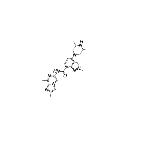 Cc1cn2cc(NC(=O)c3ccc(N4CC(C)NC(C)C4)c4cn(C)nc34)nc(C)c2n1